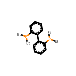 CCP(CC)c1ccccc1-c1ccccc1P(CC)CC